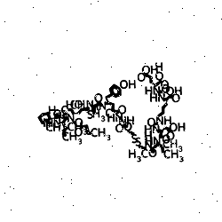 CCCC(=O)OCN(C(=O)[C@@H](NC(=O)[C@H]1CCCCN1C)C(C)CC)[C@H](C[C@@H](O)c1nc(C(=O)N[C@@H](Cc2ccc(O)cc2)C[C@H](C)C(=O)NNC(=O)OCCSSC[C@@H](C)NC(=O)[C@@H](NC(=O)[C@H](CC(=O)O)NC(=O)NCCCC[C@H](NC(=O)N[C@@H](CCC(=O)O)C(=O)O)C(=O)O)C(C)CC)cs1)C(C)C